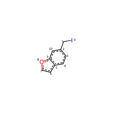 ICc1ccc2ccoc2c1